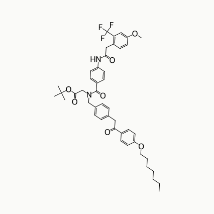 CCCCCCCOc1ccc(C(=O)Cc2ccc(CN(CC(=O)OC(C)(C)C)C(=O)c3ccc(NC(=O)Cc4ccc(OC)cc4C(F)(F)F)cc3)cc2)cc1